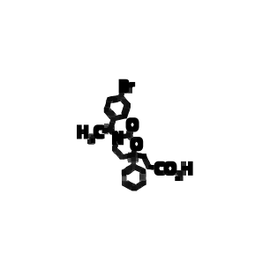 C[C@@H](c1ccc(Br)cc1)N1CC[C@@](CCC(=O)O)(c2ccccc2)OC1=O